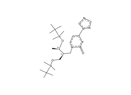 C[C@@H](O[Si](C)(C)C(C)(C)C)[C@H](CO[Si](C)(C)C(C)(C)C)Cn1ccc(-n2cncn2)nc1=O